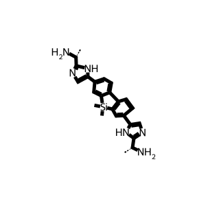 C[C@@H](N)c1ncc(-c2ccc3c(c2)[Si](C)(C)c2cc(-c4cnc([C@@H](C)N)[nH]4)ccc2-3)[nH]1